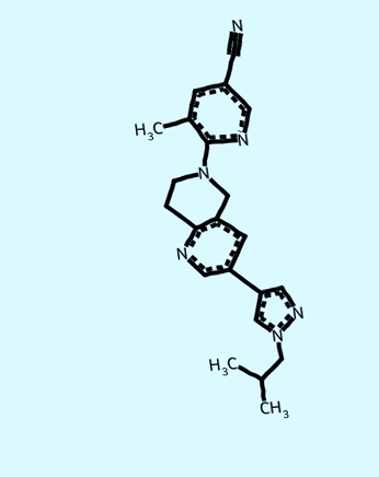 Cc1cc(C#N)cnc1N1CCc2ncc(-c3cnn(CC(C)C)c3)cc2C1